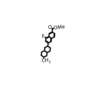 COC(=O)c1ccc2cc(C3CCC4CC(C)CCC4C3)cc(F)c2c1